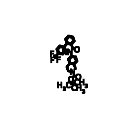 CC(C)(C)OC(=O)N1CCc2cc(NC(=O)c3ccccc3-c3ccc(C(F)(F)F)cc3)ccc2C1